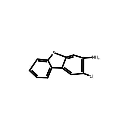 Nc1cc2sc3ccccc3c2cc1Cl